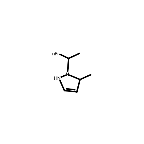 CCCC(C)N1NC=CC1C